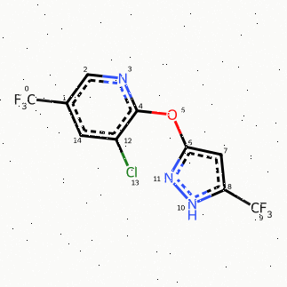 FC(F)(F)c1cnc(Oc2cc(C(F)(F)F)[nH]n2)c(Cl)c1